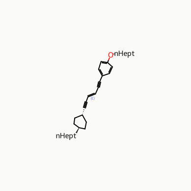 CCCCCCCOc1ccc(C#C/C=C/C#C[C@H]2CC[C@H](CCCCCCC)CC2)cc1